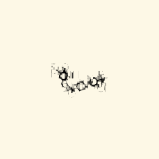 C[C@@H](ONC(=O)N1CCN(c2cc(Cl)c(C(F)(F)F)cn2)CC1)c1c[nH]c(=O)c(C(F)(F)F)c1